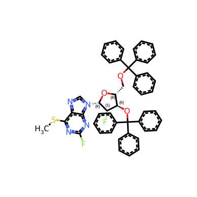 CSc1nc(F)nc2c1ncn2[C@@H]1O[C@H](COC(c2ccccc2)(c2ccccc2)c2ccccc2)[C@@H](OC(c2ccccc2)(c2ccccc2)c2ccccc2)[C@@H]1F